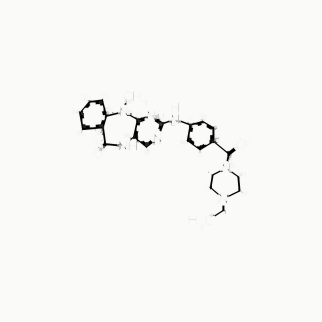 CCN1CCN(C(=O)c2ccc(Nc3ncc4c(n3)N(C)c3ccccc3C(=O)N4)cc2)CC1